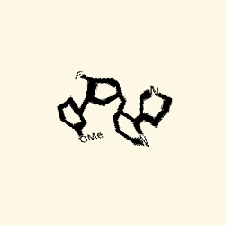 COc1cccc(-c2cc(C=C3CCCN=C3c3cccnc3)ccc2F)c1